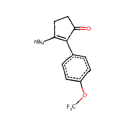 CCCCC1=C(c2ccc(OC(F)(F)F)cc2)C(=O)CC1